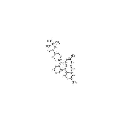 CC(C)(C)OC(=O)N1CCN(C(=O)c2ccccc2-c2c3ccc(=N)cc-3oc3cc(N)ccc23)CC1